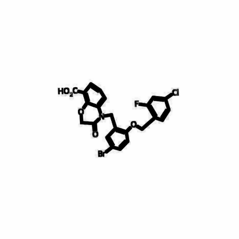 O=C(O)c1cccc2c1OCC(=O)N2Cc1cc(Br)ccc1OCc1ccc(Cl)cc1F